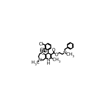 CC1=C(C(=O)OCCN(C)Cc2ccccc2)C(c2cccc(Cl)c2Cl)C2=C(CN(C)CCS2(=O)=O)N1